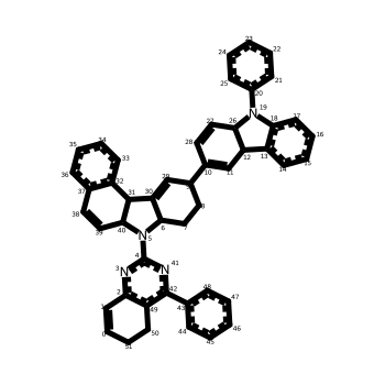 C1=Cc2nc(N3C4CCC(C5=CC6c7ccccc7N(c7ccccc7)C6C=C5)C=C4C4c5ccccc5C=CC43)nc(-c3ccccc3)c2CC1